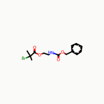 CC(C)(Br)C(=O)OCCNC(=O)OCc1ccccc1